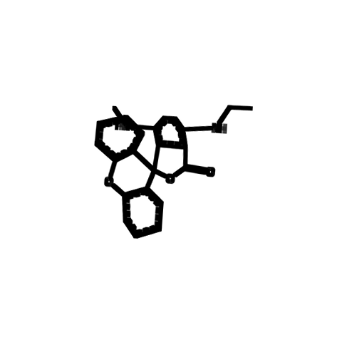 CCNc1ccc(NC)c2c1C(=O)OC21c2ccccc2Oc2ccccc21